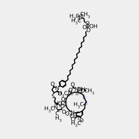 COc1cc2cc(c1Cl)N(C)C(=O)C[C@H](OC(=O)[C@H](C)N(C)C(=O)CCSC1CC(=O)N(c3ccc(CCCCCCCCCCCCCCCCCCOP(=O)(O)OCC[N+](C)(C)C)cc3)C1=O)[C@@]1(C)OC1[C@H](C)[C@@H]1C[C@@](O)(NC(=O)O1)[C@H](OC)/C=C/C=C(\C)C2